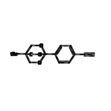 C#Cc1ccc(C23OCC(C(C)(C)C)(CO2)CO3)cc1